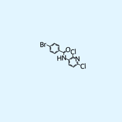 O=C(Nc1ccc(Cl)nc1Cl)c1ccc(Br)cc1